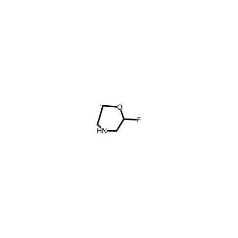 FC1CNC[CH]O1